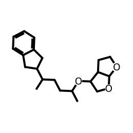 CC(CCC(C)C1Cc2ccccc2C1)OC1COC2OCCC12